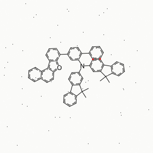 CC1(C)c2ccccc2-c2ccc(N(c3ccc4c(c3)C(C)(C)c3ccccc3-4)c3cc(-c4cccc5c4oc4ccc6ccccc6c45)ccc3-c3ccccc3)cc21